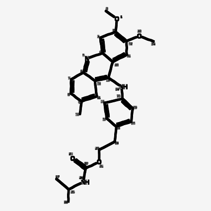 COc1cc2nc3ccc(C)cc3c(Nc3ccc(CCOC(=O)NC(C)C)cc3)c2cc1OC